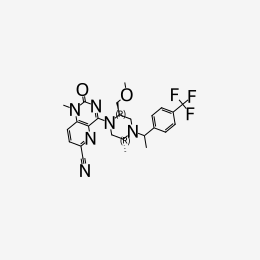 COC[C@H]1CN(C(C)c2ccc(C(F)(F)F)cc2)[C@H](C)CN1c1nc(=O)n(C)c2ccc(C#N)nc12